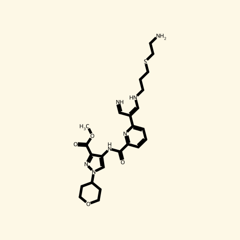 COC(=O)c1nn(C2CCOCC2)cc1NC(=O)c1cccc(/C(C=N)=C/NCCCSCCN)n1